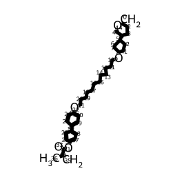 C=C1CCC(C2CCC(OCCCCCCCCCCCCOc3ccc(-c4ccc(OC(=O)C(=C)C)cc4)cc3)CC2)CO1